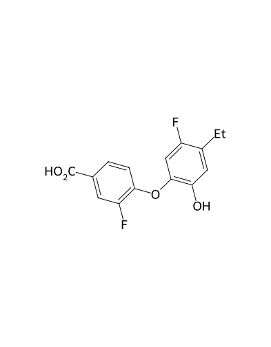 CCc1cc(O)c(Oc2ccc(C(=O)O)cc2F)cc1F